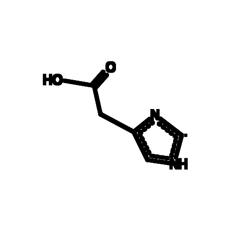 O=C(O)Cc1c[nH][c]n1